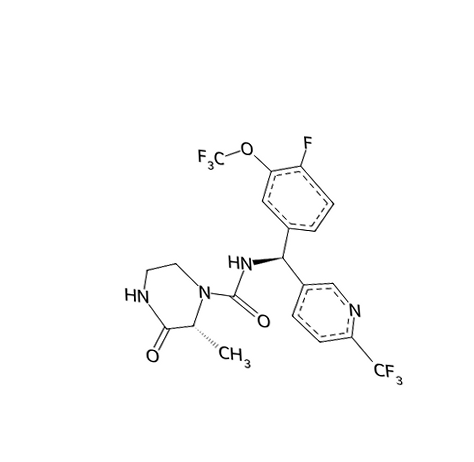 C[C@@H]1C(=O)NCCN1C(=O)N[C@H](c1ccc(C(F)(F)F)nc1)c1ccc(F)c(OC(F)(F)F)c1